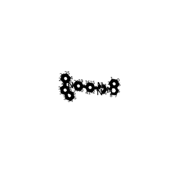 c1ccc2c(c1)CCCN2c1cnc(-c2ccc(-c3ccc(-n4c5ccccc5c5ccc6ccccc6c54)cc3)cc2)nc1